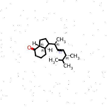 CC(C)[C@@H](C)/C=C/[C@H](C)C1CC[C@H]2C(=O)CCC[C@H]12